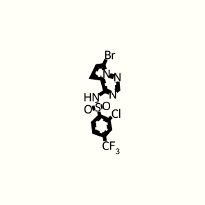 O=S(=O)(Nc1ncnn2c(Br)ccc12)c1ccc(C(F)(F)F)cc1Cl